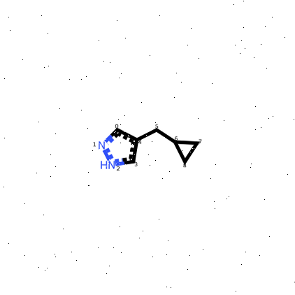 [c]1n[nH]cc1CC1CC1